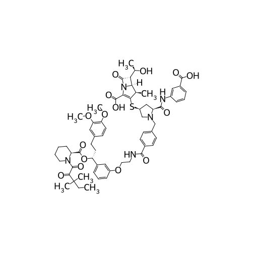 CCC(C)(C)C(=O)C(=O)N1CCCC[C@H]1C(=O)O[C@H](CCc1ccc(OC)c(OC)c1)c1cccc(OCCNC(=O)c2ccc(CN3C[C@@H](SC4=C(C(=O)O)N5C(=O)[C@H]([C@@H](C)O)[C@H]5[C@H]4C)C[C@H]3C(=O)Nc3cccc(C(=O)O)c3)cc2)c1